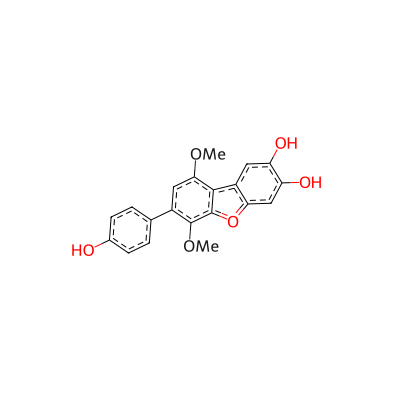 COc1c(-c2ccc(O)cc2)cc(OC)c2c1oc1cc(O)c(O)cc12